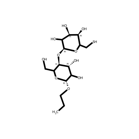 CCCO[C@@H]1OC(CO)[C@@H](O[C@@H]2OC(CS)[C@H](O)[C@H](O)C2O)[C@H](O)C1O